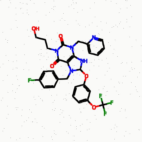 O=c1c2c(n(Cc3ccccn3)c(=O)n1CCCO)NC(Oc1cccc(OC(F)(F)F)c1)N2Cc1ccc(F)cc1